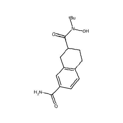 CC(C)(C)N(O)C(=O)C1CCc2ccc(C(N)=O)cc2C1